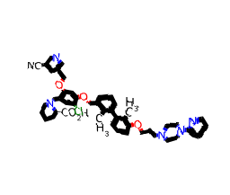 Cc1c(COc2cc(OCc3cncc(C#N)c3)c(CN3CCCC[C@H]3C(=O)O)cc2Cl)cccc1-c1cccc(OCCCN2CCN(c3ccccn3)CC2)c1C